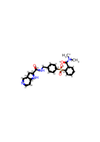 CN(C)C(=O)c1ccccc1S(=O)(=O)c1ccc(CNC(=O)c2cc3cnccc3[nH]2)cc1